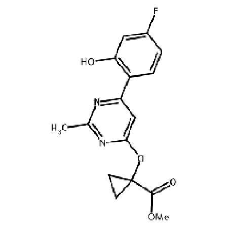 COC(=O)C1(Oc2cc(-c3ccc(F)cc3O)nc(C)n2)CC1